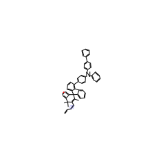 C=C/C=C\C1=C(C)C2(c3ccccc3-c3c(-c4ccc(N(c5ccccc5)c5ccc(-c6ccccc6)cc5)cc4)cccc32)c2ccccc2C1(C)C